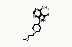 COCCN1CCC(n2nc(I)c3c(N)ncnc32)CC1